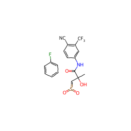 CC(O)(C=S(=O)=O)C(=O)Nc1ccc(C#N)c(C(F)(F)F)c1.Fc1ccccc1